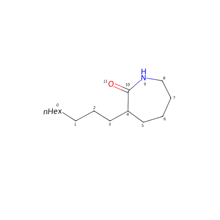 CCCCCCCCCC1CCCCNC1=O